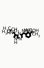 CC(C)(C)NC(=O)c1c[nH]c2ncc(C(=N)c3cccc(C(C)(C)O)c3N)nc12